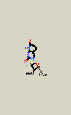 COC[C@H]1O[C@@H](n2cc3ccc(=O)[nH]c3nc2=O)[C@@H](F)C1OC